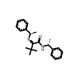 C[C@@H](/N=C(\C(=O)N[C@H](C)c1ccccc1)C(C)(C)C)c1ccccc1